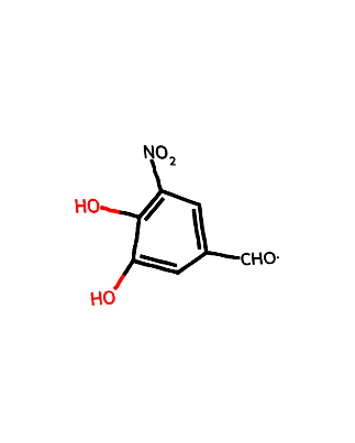 O=[C]c1cc(O)c(O)c([N+](=O)[O-])c1